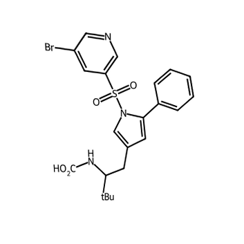 CC(C)(C)C(Cc1cc(-c2ccccc2)n(S(=O)(=O)c2cncc(Br)c2)c1)NC(=O)O